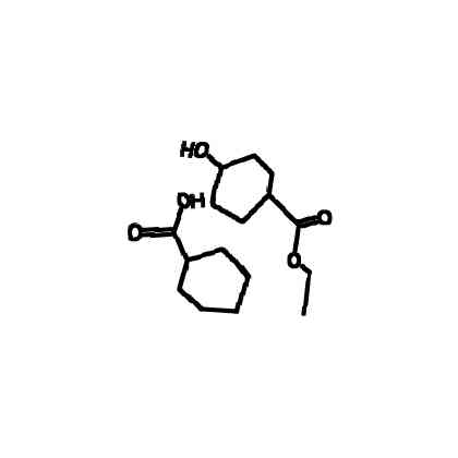 CCOC(=O)C1CCC(O)CC1.O=C(O)C1CCCCC1